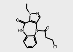 CCn1ncc2c1C(=O)Nc1ccccc1N2C(=O)CCCl